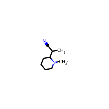 [CH2]N1CCCCC1C(C)C#N